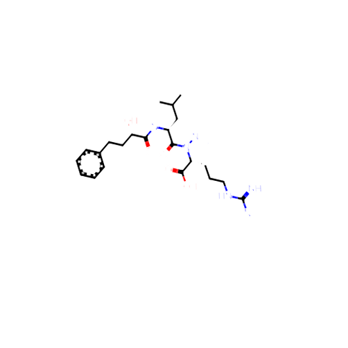 CC(C)C[C@H](NC(=O)[C@@H](O)CCc1ccccc1)C(=O)N(N)[C@H](CCCNC(=N)N)C(=O)O